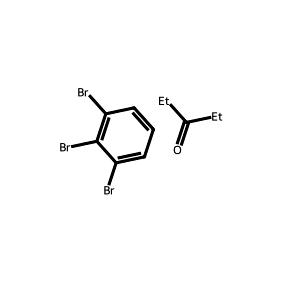 Brc1cccc(Br)c1Br.CCC(=O)CC